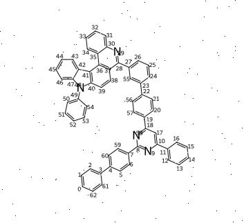 c1ccc(-c2ccc(-c3nc(-c4ccccc4)cc(-c4ccc(-c5cccc(-c6nc7ccccc7c7c6ccc6c7c7ccccc7n6-c6ccccc6)c5)cc4)n3)cc2)cc1